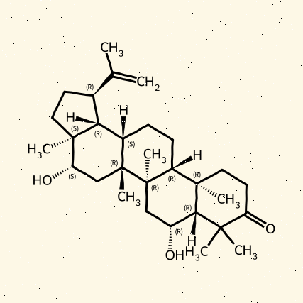 C=C(C)[C@@H]1CC[C@@]2(C)[C@H]1[C@@H]1CC[C@@H]3[C@@]4(C)CCC(=O)C(C)(C)[C@@H]4[C@H](O)C[C@@]3(C)[C@]1(C)C[C@@H]2O